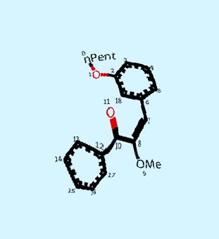 CCCCCOc1cccc(C=C(OC)C(=O)c2ccccc2)c1